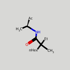 CCCCCCC(C)(CC)C(=O)N[C@@H](C)C(C)=O